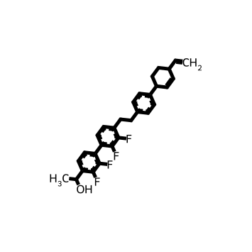 C=CC1C=CC(c2ccc(CCc3ccc(-c4ccc(C(C)O)c(F)c4F)c(F)c3F)cc2)CC1